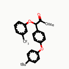 COC(=O)C(Oc1cccc(C(F)(F)F)c1)c1ccc(Oc2ccc(C(C)(C)C)cc2)cc1